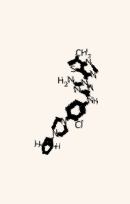 Cc1csc2c(-n3nc(Nc4ccc(N5CCN([C@H]6C[C@@H]7CC[C@H]6C7)CC5)c(Cl)c4)nc3N)ncnc12